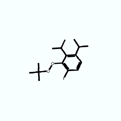 CC(C)c1ccc(I)c(OOC(C)(C)C)c1C(C)C